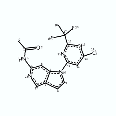 CC(=O)Nc1cc2c(ccn2-c2cc(Cl)nc(C(C)(F)F)n2)cn1